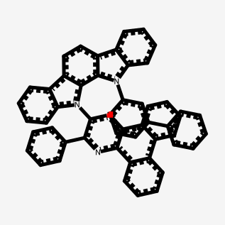 c1ccc(-c2cccc(-n3c4ccccc4c4ccc5c6ccccc6n(-c6nc7c8ccccc8c8ccccc8c7nc6-c6ccccc6)c5c43)c2)cc1